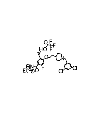 CCS(=O)(=O)NC(=O)c1cc(C2CC2)c(OCCC2CCN(Cc3cc(Cl)cc(Cl)c3)CC2)cc1F.O=C(O)C(F)(F)F